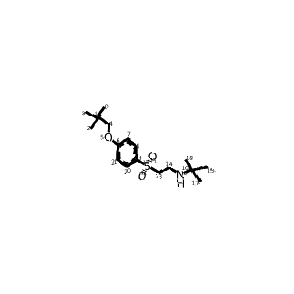 CC(C)(C)COc1ccc(S(=O)(=O)CCNC(C)(C)C)cc1